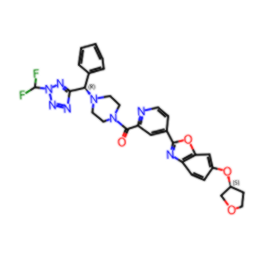 O=C(c1cc(-c2nc3ccc(O[C@H]4CCOC4)cc3o2)ccn1)N1CCN([C@H](c2ccccc2)c2nnn(C(F)F)n2)CC1